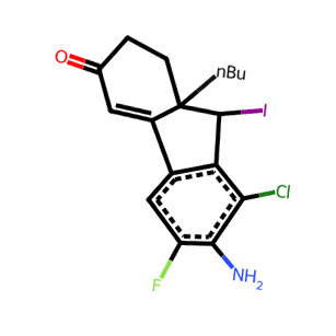 CCCCC12CCC(=O)C=C1c1cc(F)c(N)c(Cl)c1C2I